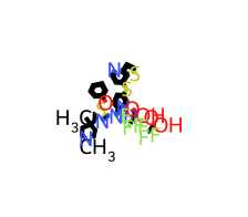 CN1CCC(C)(c2csc(Nc3ncc(Sc4ccnc5ccsc45)cc3Oc3ccccc3)n2)CC1.O=C(O)C(F)(F)F.O=C(O)C(F)(F)F